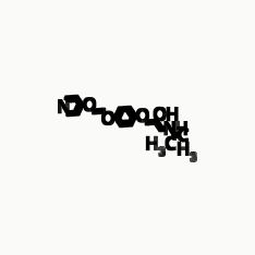 CC(C)NCC(O)COc1ccc(OCCOc2ccncc2)cc1